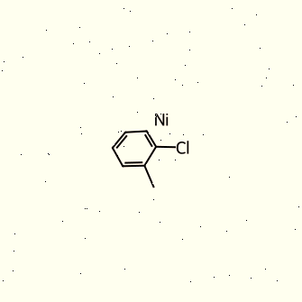 Cc1ccccc1Cl.[Ni]